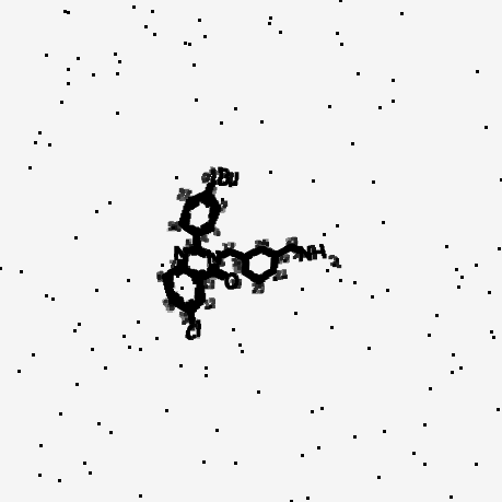 CC(C)(C)c1ccc(-c2nc3ccc(Cl)cc3c(=O)n2CC2CCCC(CN)C2)cc1